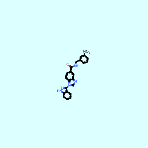 O=C(NCc1cccc([N+](=O)[O-])c1)c1ccc2c(c1)ncn2-c1n[nH]c2ccccc12